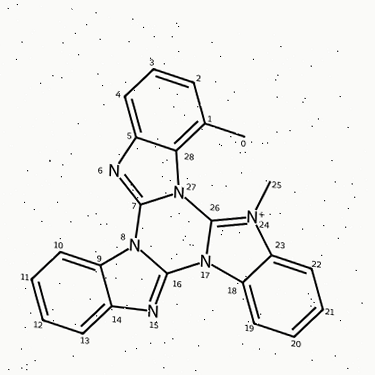 Cc1cccc2nc3n4c5ccccc5nc4n4c5ccccc5[n+](C)c4n3c12